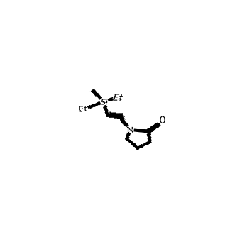 CC[Si](C)(C=CN1CCCC1=O)CC